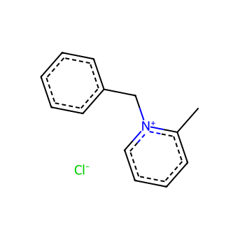 Cc1cccc[n+]1Cc1ccccc1.[Cl-]